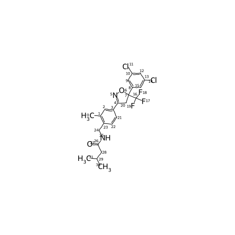 Cc1cc(C2=NOC(c3cc(Cl)cc(Cl)c3)(C(F)(F)F)C2)ccc1CNC(=O)CC(C)C